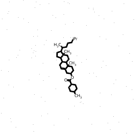 CC(C)CCCC(C)C1CCC2C3CC=C4CC(OC(=O)C5CCC(C)CC5)CCC4(C)C3CCC12C